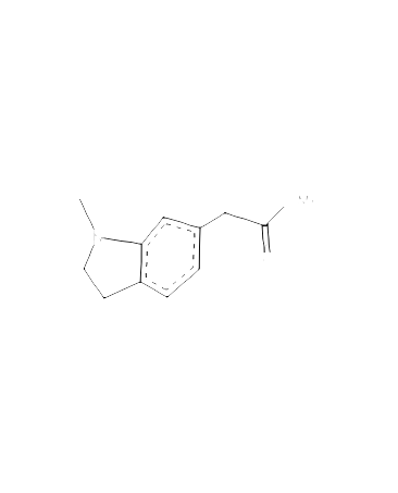 COC(=O)Cc1ccc2c(c1)N(C)CC2